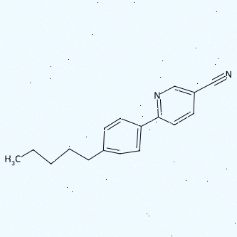 CCCCCc1ccc(-c2ccc(C#N)cn2)cc1